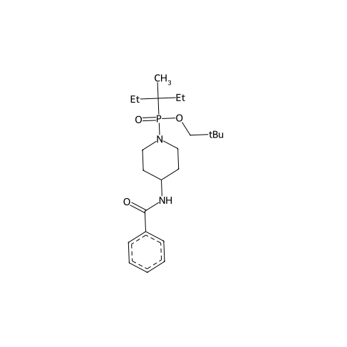 CCC(C)(CC)P(=O)(OCC(C)(C)C)N1CCC(NC(=O)c2ccccc2)CC1